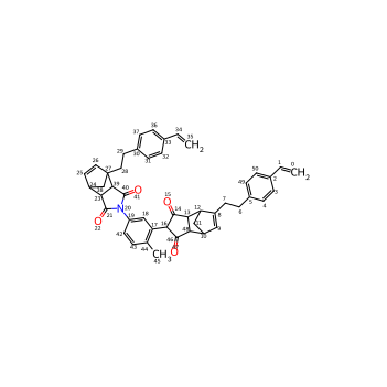 C=Cc1ccc(CCC2=CC3CC2C2C(=O)C(c4cc(N5C(=O)C6C7C=CC(CCc8ccc(C=C)cc8)(C7)C6C5=O)ccc4C)C(=O)C32)cc1